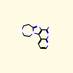 Nc1nc2ncccc2c2c1nc1n2CCNCC1